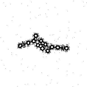 c1ccc2c(c1)-c1ccccc1C21c2cc(-n3c4ccccc4c4cc(-c5ccc(-c6nc7ccccc7o6)cc5)ccc43)ccc2-c2ccc(-n3c4ccccc4c4cc(-c5ccc(-c6nc7ccccc7o6)cc5)ccc43)cc21